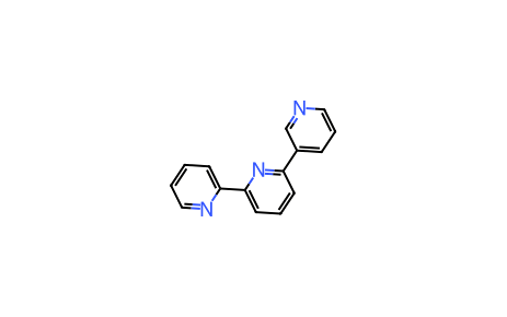 c1ccc(-c2cccc(-c3cccnc3)n2)nc1